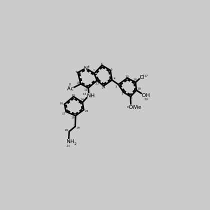 COc1cc(-c2ccc3ncc(C(C)=O)c(Nc4cccc(CCN)c4)c3c2)cc(Cl)c1O